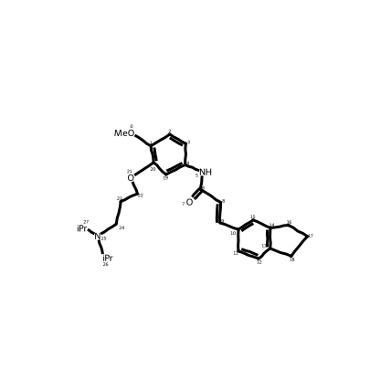 COc1ccc(NC(=O)C=Cc2ccc3c(c2)CCC3)cc1OCCCN(C(C)C)C(C)C